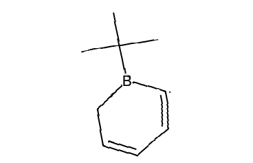 CC(C)(C)B1[C]=CC=CC1